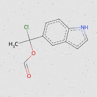 CC(Cl)(OC=O)c1ccc2[nH]ccc2c1